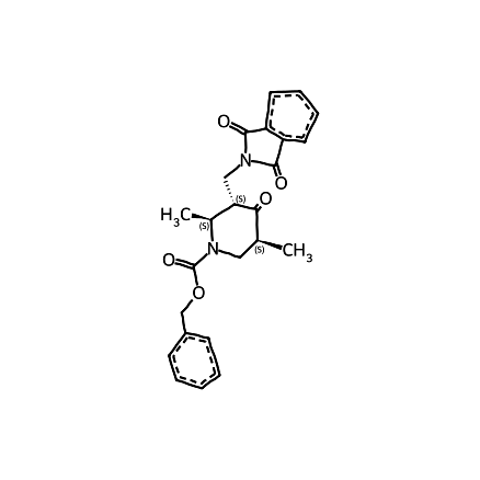 C[C@H]1CN(C(=O)OCc2ccccc2)[C@@H](C)[C@H](CN2C(=O)c3ccccc3C2=O)C1=O